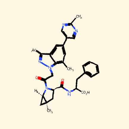 CC(=O)c1nn(CC(=O)N2[C@@H](C(=O)NC(Cc3ccccc3)C(=O)O)C[C@@]3(C)C[C@@H]23)c2c(C)cc(-c3cnc(C)nc3)cc12